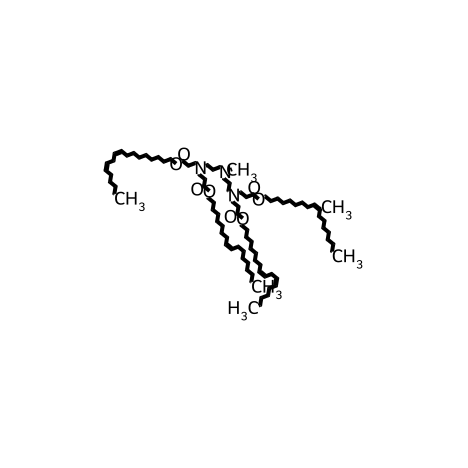 CCCCC/C=C\C/C=C\CCCCCCCCOC(=O)CCN(CCCN(C)CCCN(CCC(=O)OCCCCCCCC/C=C\C/C=C\CCCCC)CCC(=O)OCCCCCCCC/C=C(/C)CCCCCCCC)CCC(=O)OCCCCCCCC/C=C\CCCCCCCC